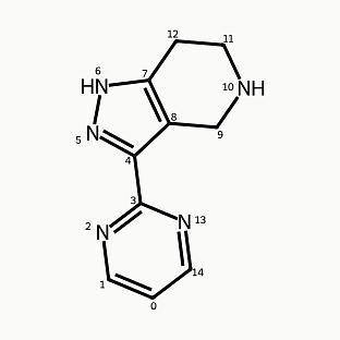 c1cnc(-c2n[nH]c3c2CNCC3)nc1